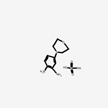 Nc1ccc(N2CCOCC2)cc1N.O=S(=O)(O)O